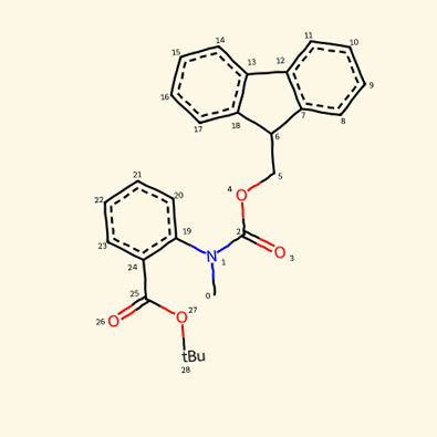 CN(C(=O)OCC1c2ccccc2-c2ccccc21)c1ccccc1C(=O)OC(C)(C)C